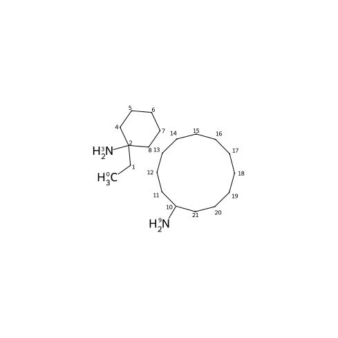 CCC1(N)CCCCC1.NC1CCCCCCCCCCC1